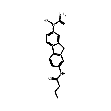 CCCC(=O)Nc1ccc2c(c1)Cc1cc(N(S)C(N)=O)ccc1-2